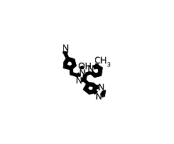 Cc1cccc(-c2c(-c3ccc4nccnc4c3)nc(Cc3ccc(C#N)cc3)n2O)n1